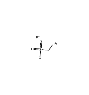 CCCCS(=O)([O-])=S.[K+]